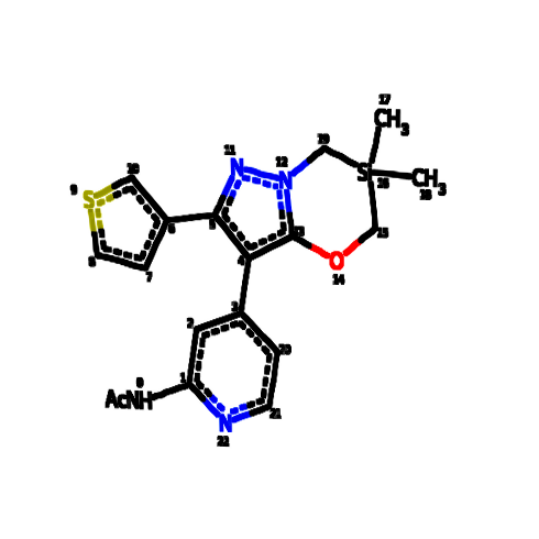 CC(=O)Nc1cc(-c2c(-c3ccsc3)nn3c2OC[Si](C)(C)C3)ccn1